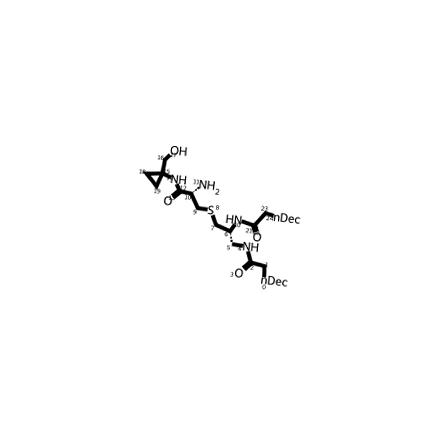 CCCCCCCCCCCC(=O)NC[C@H](CSC[C@@H](N)C(=O)NC1(CO)CC1)NC(=O)CCCCCCCCCCC